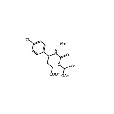 CC(=O)OC(OC(=O)NC(CCC(=O)[O-])c1ccc(Cl)cc1)C(C)C.[Na+]